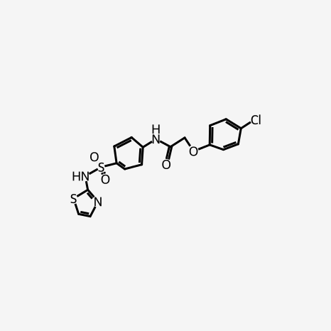 O=C(COc1ccc(Cl)cc1)Nc1ccc(S(=O)(=O)Nc2nccs2)cc1